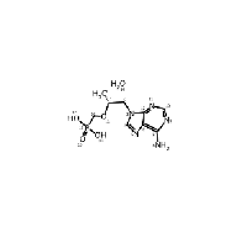 C[C@H](Cn1cnc2c(N)ncnc21)OCP(=O)(O)O.O